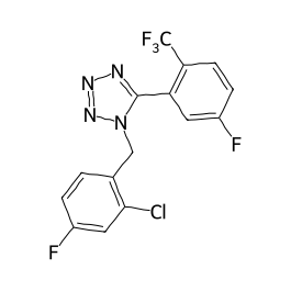 Fc1ccc(Cn2nnnc2-c2cc(F)ccc2C(F)(F)F)c(Cl)c1